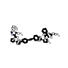 CCC(NC(=O)OC)(C(=O)N1CCC[C@H]1c1nc2ccc(C#Cc3ccc(-c4cnc([C@@H]5CCCN5C(=O)[C@@H](/N=C\OOC)C(C)C)[nH]4)cc3)cc2[nH]1)c1ccccc1